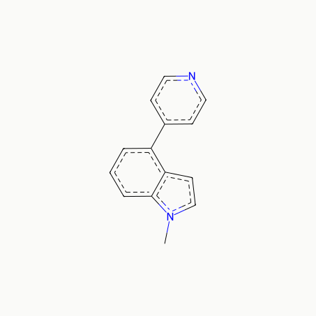 Cn1ccc2c(-c3ccncc3)cccc21